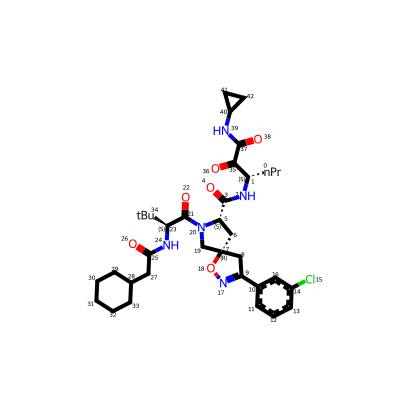 CCC[C@H](NC(=O)[C@@H]1C[C@@]2(CC(c3cccc(Cl)c3)=NO2)CN1C(=O)[C@@H](NC(=O)CC1CCCCC1)C(C)(C)C)C(=O)C(=O)NC1CC1